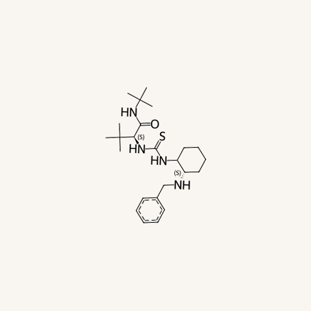 CC(C)(C)NC(=O)[C@@H](NC(=S)NC1CCCC[C@@H]1NCc1ccccc1)C(C)(C)C